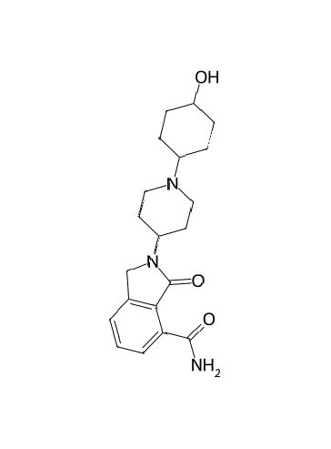 NC(=O)c1cccc2c1C(=O)N(C1CCN(C3CCC(O)CC3)CC1)C2